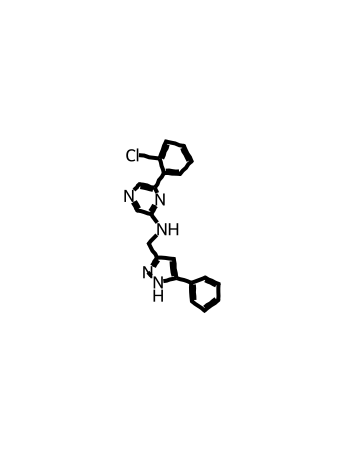 Clc1ccccc1-c1cncc(NCc2cc(-c3ccccc3)[nH]n2)n1